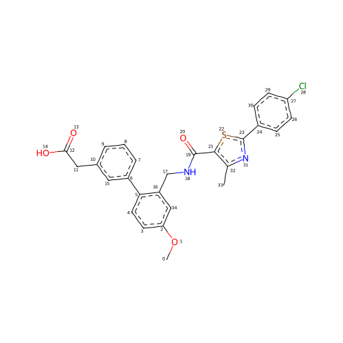 COc1ccc(-c2cccc(CC(=O)O)c2)c(CNC(=O)c2sc(-c3ccc(Cl)cc3)nc2C)c1